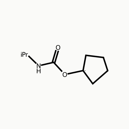 CC(C)NC(=O)O[C]1CCCC1